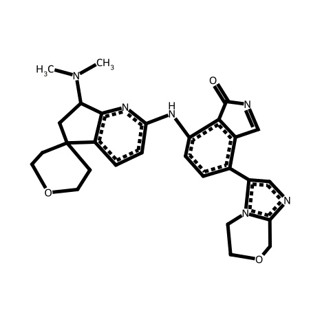 CN(C)C1CC2(CCOCC2)c2ccc(Nc3ccc(-c4cnc5n4CCOC5)c4c3C(=O)N=C4)nc21